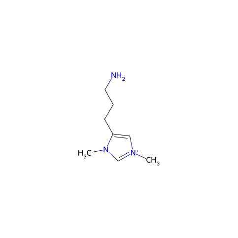 Cn1c[n+](C)cc1CCCN